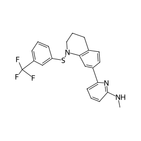 CNc1cccc(-c2ccc3c(c2)N(Sc2cccc(C(F)(F)F)c2)CCC3)n1